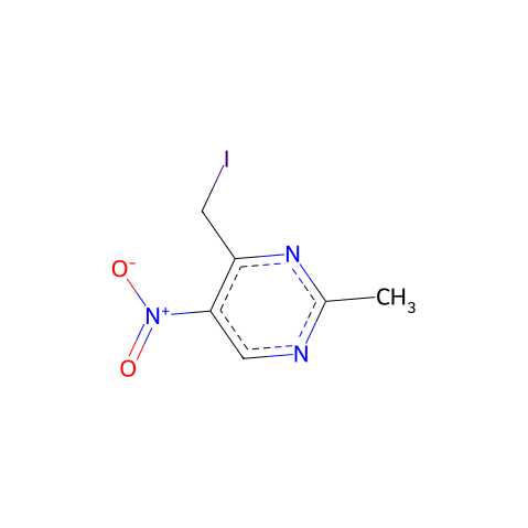 Cc1ncc([N+](=O)[O-])c(CI)n1